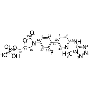 Cn1nnnc1Nc1ccc(-c2ccc(N3CC(COP(=O)(O)O)OC3=O)cc2F)cn1